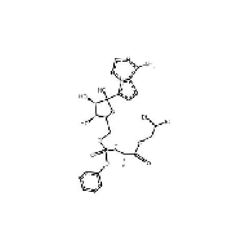 CCC(CC)COC(=O)[C@H](C)N[P@@](=O)(OCC1O[C@@](C#N)(c2ccc3c(N)ncnn23)[C@H](O)[C@@H]1O)Oc1ccccc1